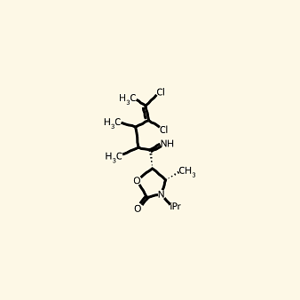 C/C(Cl)=C(/Cl)C(C)C(C)C(=N)[C@H]1OC(=O)N(C(C)C)[C@H]1C